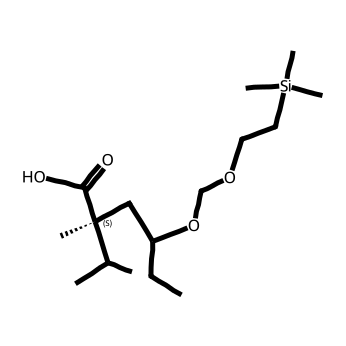 CCC(C[C@](C)(C(=O)O)C(C)C)OCOCC[Si](C)(C)C